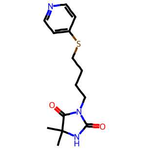 CC1(C)NC(=O)N(CCCCSc2ccncc2)C1=O